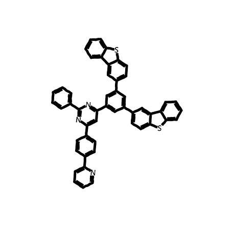 c1ccc(-c2nc(-c3ccc(-c4ccccn4)cc3)cc(-c3cc(-c4ccc5sc6ccccc6c5c4)cc(-c4ccc5sc6ccccc6c5c4)c3)n2)cc1